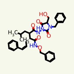 CC(C)CC(C(=O)NN1C(=O)C(CO)N(Cc2ccccc2)C1=O)[C@@H](C/C=C\c1ccccc1)C(=O)NOCc1ccccc1